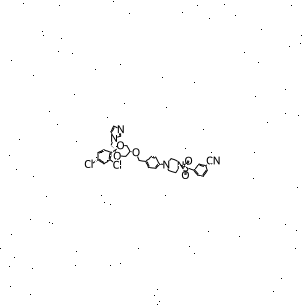 N#Cc1cccc(S(=O)(=O)N2CCN(c3ccc(CO[C@H]4CO[C@](Cn5ccnc5)(c5ccc(Cl)cc5Cl)OC4)cc3)CC2)c1